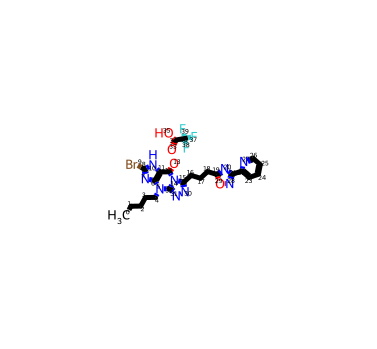 CCCCCn1c2nc(Br)[nH]c2c(=O)n2c(CCCc3nc(-c4ccccn4)no3)nnc12.O=C(O)C(F)(F)F